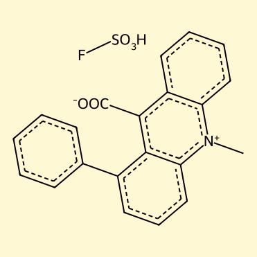 C[n+]1c2ccccc2c(C(=O)[O-])c2c(-c3ccccc3)cccc21.O=S(=O)(O)F